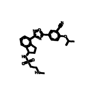 CNCCS(=O)(=O)NC1CCc2c(-c3noc(-c4ccc(OC(C)C)c(C#N)c4)n3)cccc21